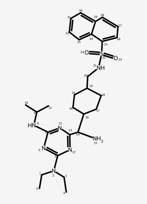 CCN(CC)c1nc(NC(C)C)nc(C(N)C2CCC(CNS(=O)(=O)c3cccc4ccccc34)CC2)n1